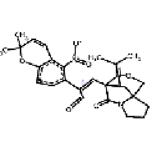 CC(C)C1CC23CCCN2C(=O)C1(/C=C(\C=O)c1ccc2c(c1[N+](=O)[O-])C=CC(C)(C)O2)NOC3